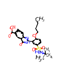 CCCCOc1ccc(S(=O)(=O)NC(C)(C)C)cc1-c1nc2ccc(C(=O)O)cc2c(=O)[nH]1